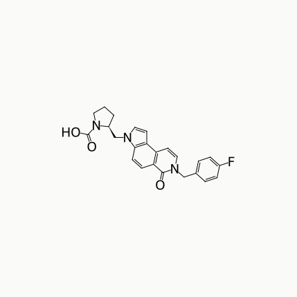 O=C(O)N1CCC[C@H]1Cn1ccc2c3ccn(Cc4ccc(F)cc4)c(=O)c3ccc21